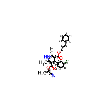 CC1=C(C(=O)OC/C=C/c2ccccc2)C(c2cccc(Cl)c2)C(C(=O)OC(C)C#N)=C(C)N1